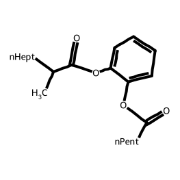 CCCCCCCC(C)C(=O)Oc1ccccc1OC(=O)CCCCC